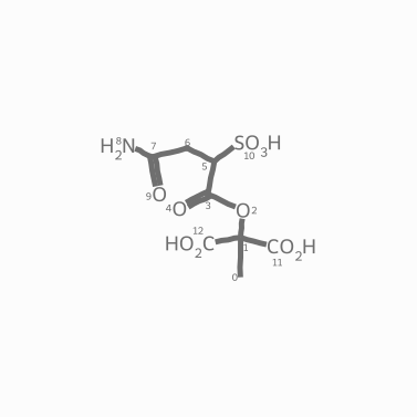 CC(OC(=O)C(CC(N)=O)S(=O)(=O)O)(C(=O)O)C(=O)O